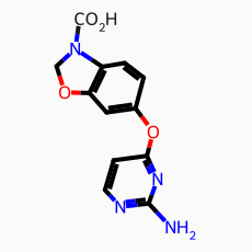 Nc1nccc(Oc2ccc3c(c2)OCN3C(=O)O)n1